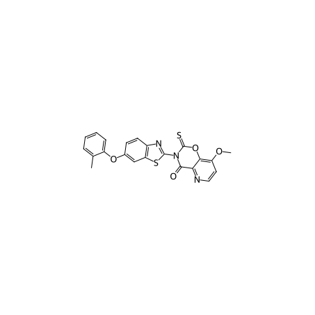 COc1ccnc2c(=O)n(-c3nc4ccc(Oc5ccccc5C)cc4s3)c(=S)oc12